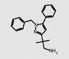 CC(C)(CN)c1cc(-c2ccccc2)n(Cc2ccccc2)n1